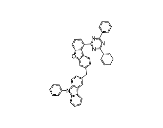 C1=CC(c2nc(-c3ccccc3)nc(-c3cccc4oc5cc(Cc6ccc7c(c6)c6ccccc6n7-c6ccccc6)ccc5c34)n2)=CCC1